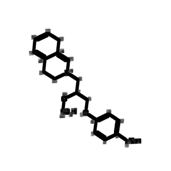 CCCCCCCCCc1ccc(OCC(CN2C=C3CC=CC=C3CC2)OS(=O)(=O)O)cc1